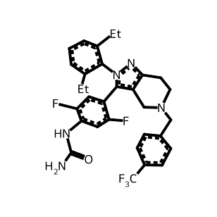 CCc1cccc(CC)c1-n1nc2c(c1-c1cc(F)c(NC(N)=O)cc1F)CN(Cc1ccc(C(F)(F)F)cc1)CC2